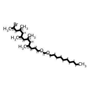 CCCCCCCCCCOCOCCCC(C)CC(C)CC(C)CC(C)CC(C)Br